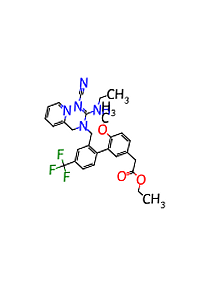 CCNC(=NC#N)N(Cc1ccccn1)Cc1cc(C(F)(F)F)ccc1-c1cc(CC(=O)OCC)ccc1OC